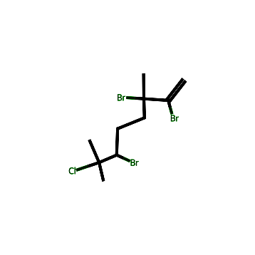 C=C(Br)C(C)(Br)CCC(Br)C(C)(C)Cl